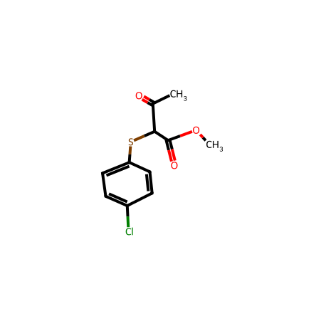 COC(=O)C(Sc1ccc(Cl)cc1)C(C)=O